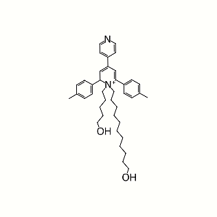 Cc1ccc(C2=CC(c3ccncc3)=CC(c3ccc(C)cc3)[N+]2(CCCCCO)CCCCCCCCCCCO)cc1